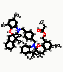 CCc1cc([N+](=O)[O-])cc2c1OC1(Cc3ccccc3C1(C)C)CN2Cc1ccc(CN2c3ccccc3C(C)(C)C23CCc2cc([N+](=O)[O-])cc(COC(=O)CC(C)=O)c2O3)cc1